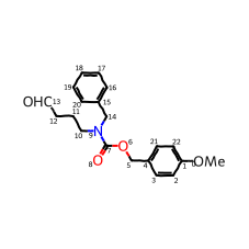 COc1ccc(COC(=O)N(CCCC=O)Cc2ccccc2)cc1